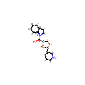 O=C(C1CSC(c2cccnc2)S1)n1ccc2ccccc21